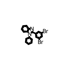 Brc1cc(Br)cc(-c2nc3ccccc3n2-c2ccccc2)c1